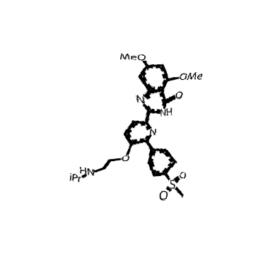 COc1cc(OC)c2c(=O)[nH]c(-c3ccc(OCCNC(C)C)c(-c4ccc(S(C)(=O)=O)cc4)n3)nc2c1